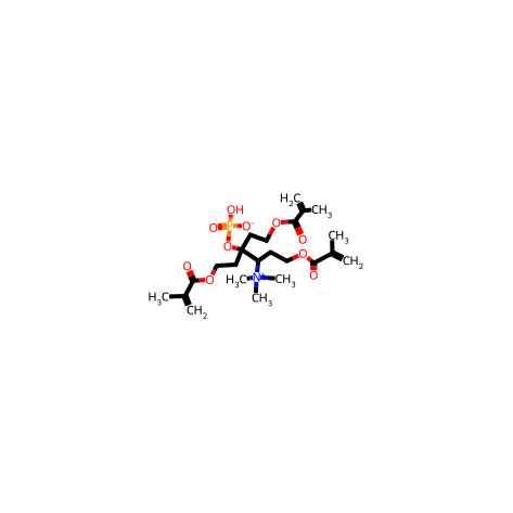 C=C(C)C(=O)OCCC(C(CCOC(=O)C(=C)C)(CCOC(=O)C(=C)C)OP(=O)([O-])O)[N+](C)(C)C